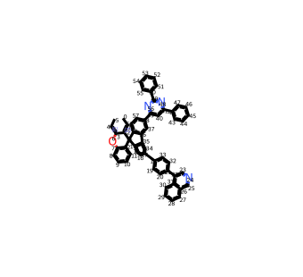 C/C=C1\C(=C/C)Oc2ccccc2C12c1ccc(-c3ccc(-c4cncc5ccccc45)cc3)cc1-c1cc(-c3cc(-c4ccccc4)nc(-c4ccccc4)n3)ccc12